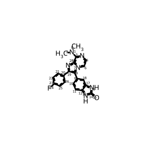 CN(C)c1nccn2c(-c3ccc4[nH]c(=O)[nH]c4c3)c(-c3ccc(F)cc3)nc12